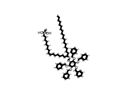 CCCCCCCCCCCCCCCCCCC(CCCCCC/C=C\CCCCCCCCP(=O)(O)O)SO[C@@H]1[C@@H](OCc2ccccc2)[C@H](OCc2ccccc2)[C@@H](OCc2ccccc2)[C@H](OCc2ccccc2)[C@@H]1OCc1ccccc1